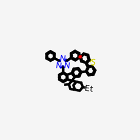 CCC1CC2CC(C)C3(c4cc(-c5cccc6sc7ccccc7c56)ccc4-c4c(-c5nc(-c6ccccc6)nc(-c6ccccc6)n5)cccc43)C(C1)C2